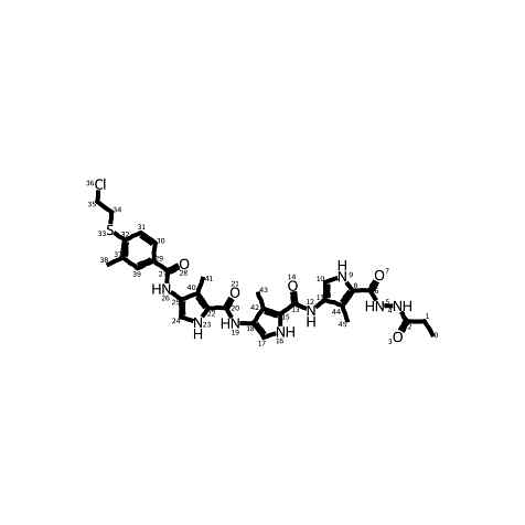 CCC(=O)NNC(=O)c1[nH]cc(NC(=O)c2[nH]cc(NC(=O)c3[nH]cc(NC(=O)c4ccc(SCCCl)c(C)c4)c3C)c2C)c1C